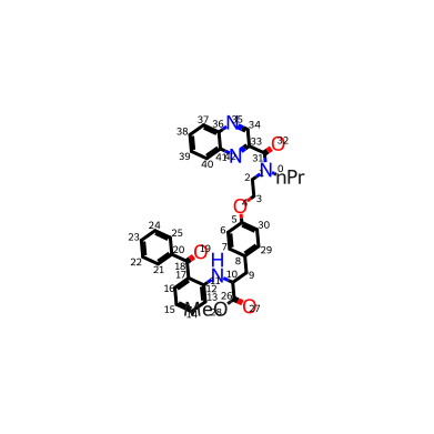 CCCN(CCOc1ccc(CC(Nc2ccccc2C(=O)c2ccccc2)C(=O)OC)cc1)C(=O)c1cnc2ccccc2n1